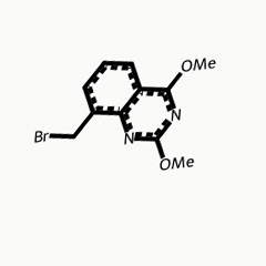 COc1nc(OC)c2cccc(CBr)c2n1